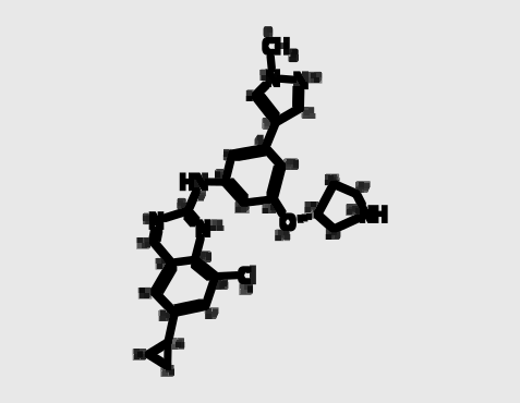 Cn1cc(-c2cc(Nc3ncc4cc(C5CC5)cc(Cl)c4n3)cc(O[C@@H]3CCNC3)c2)cn1